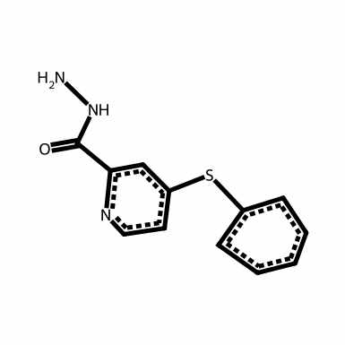 NNC(=O)c1cc(Sc2ccccc2)ccn1